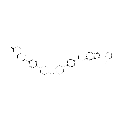 CN1CCC[C@@H]1c1cc2cnc(NC(=O)c3ccc(N4CCN(CC5CCN(c6ccc(C(=O)N[C@H]7CCC(=O)NC7=O)nc6)CC5)CC4)cc3)cc2[nH]1